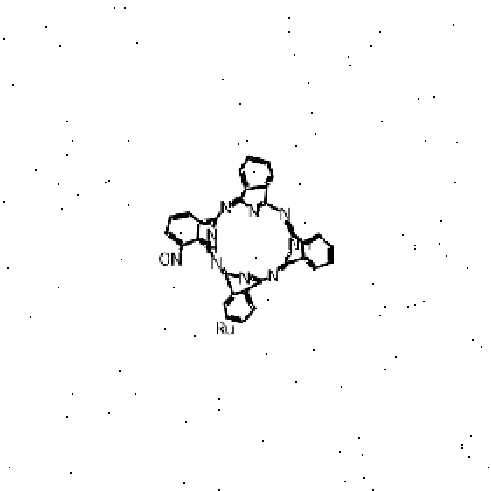 O=Nc1cccc2c3nc4nc(nc5[nH]c(nc6nc(nc([nH]3)c12)-c1ccccc1-6)c1ccccc51)-c1ccccc1-4.[Ru]